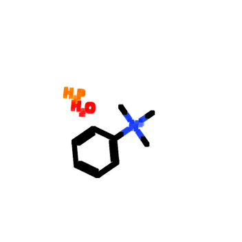 C[N+](C)(C)c1ccccc1.O.P